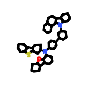 c1cc(-c2ccc(N(c3ccc4c(c3)sc3ccccc34)c3cccc4c3oc3ccccc34)cc2)cc(-n2c3ccccc3c3ccc4ccccc4c32)c1